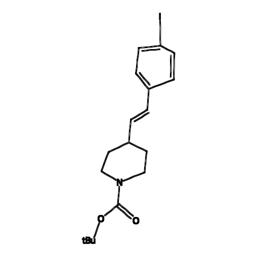 CC(C)(C)OC(=O)N1CCC(/C=C/c2ccc(I)cc2)CC1